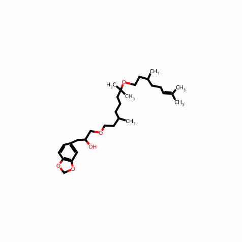 CC(C)=CCCC(C)CCOC(C)(C)CCCC(C)CCOCC(O)Cc1ccc2c(c1)OCO2